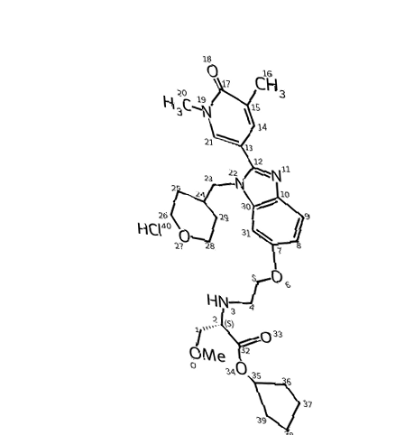 COC[C@H](NCCOc1ccc2nc(-c3cc(C)c(=O)n(C)c3)n(CC3CCOCC3)c2c1)C(=O)OC1CCCC1.Cl